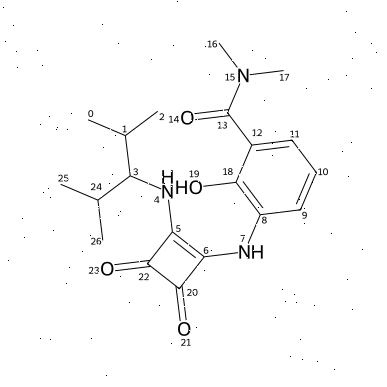 CC(C)C(Nc1c(Nc2cccc(C(=O)N(C)C)c2O)c(=O)c1=O)C(C)C